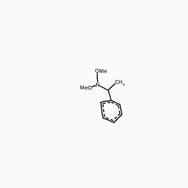 CON(OC)C(C)c1ccccc1